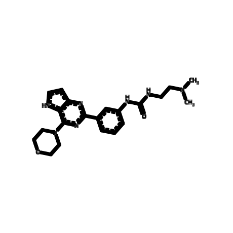 CN(C)CCNC(=O)Nc1cccc(-c2nc(N3CCOCC3)c3[nH]ccc3n2)c1